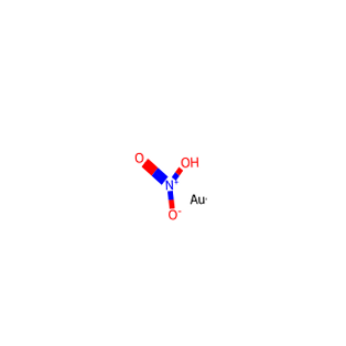 O=[N+]([O-])O.[Au]